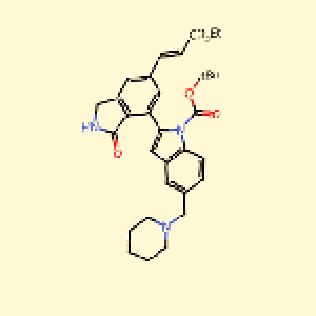 CCOC(=O)C=Cc1cc2c(c(-c3cc4cc(CN5CCCCC5)ccc4n3C(=O)OC(C)(C)C)c1)C(=O)NC2